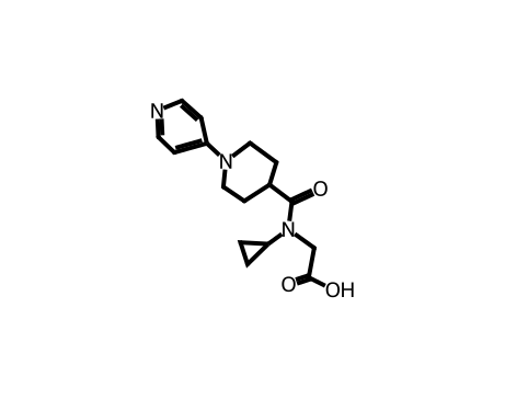 O=C(O)CN(C(=O)C1CCN(c2ccncc2)CC1)C1CC1